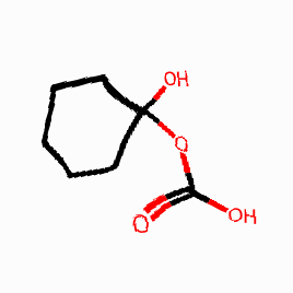 O=C(O)OC1(O)CCCCC1